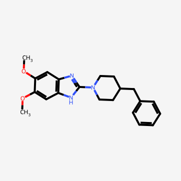 COc1cc2nc(N3CCC(Cc4ccccc4)CC3)[nH]c2cc1OC